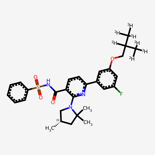 [2H]C([2H])([2H])C([2H])(COc1cc(F)cc(-c2ccc(C(=O)NS(=O)(=O)c3ccccc3)c(N3C[C@@H](C)CC3(C)C)n2)c1)C([2H])([2H])[2H]